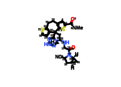 CNC(=O)c1cc2c(s1)C(C[C@H](C)NCC(=O)N1C(C#N)C[C@@H]3C[C@@H]31)(c1nn[nH]n1)c1ccsc1CC2